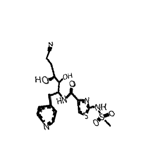 CS(=O)(=O)Nc1nc(C(=O)NC(Cc2ccncc2)C(O)C(O)CCC#N)cs1